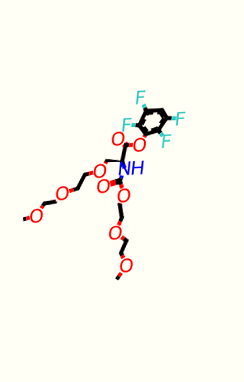 COCCOCCOC[C@H](NC(=O)OCCOCCOC)C(=O)Oc1c(F)c(F)cc(F)c1F